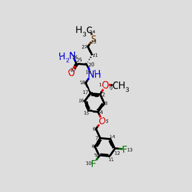 COc1cc(OCc2cc(F)cc(F)c2)ccc1CN[C@@H](CCSC)C(N)=O